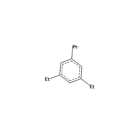 CCc1cc(CC)cc([C](C)C)c1